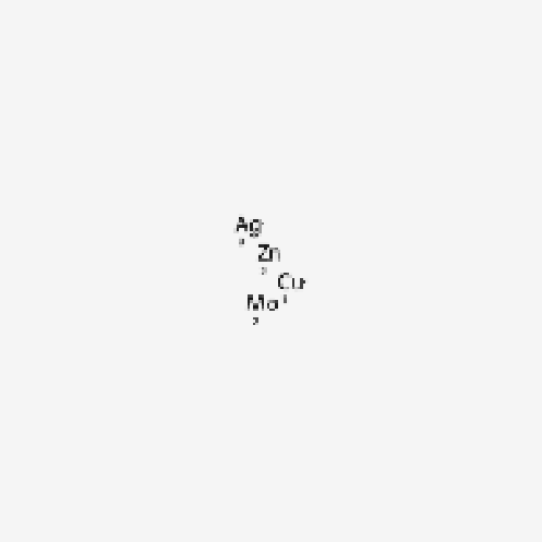 [Ag].[Cu].[Mo].[Zn]